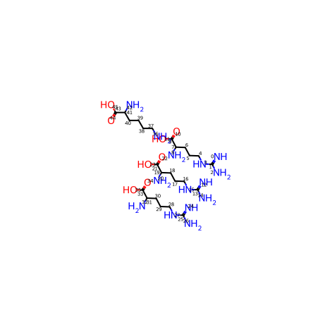 N=C(N)NCCCC(N)C(=O)O.N=C(N)NCCCC(N)C(=O)O.N=C(N)NCCCC(N)C(=O)O.NCCCCC(N)C(=O)O